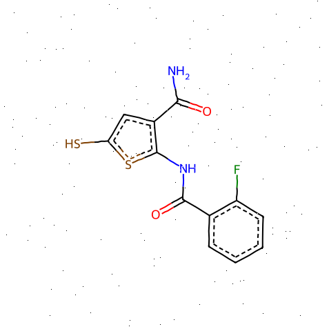 NC(=O)c1cc(S)sc1NC(=O)c1ccccc1F